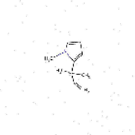 C=C[Si](C)(C)c1cccn1C